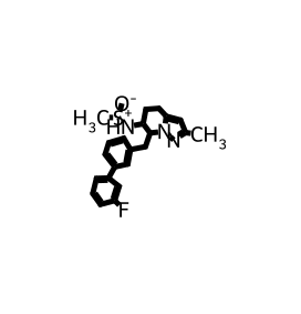 Cc1cc2n(n1)C(Cc1cccc(-c3cccc(F)c3)c1)C(N[S+](C)[O-])CC2